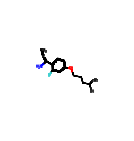 C=C=C(N)c1ccc(OCCCC(CC)CCC)cc1F